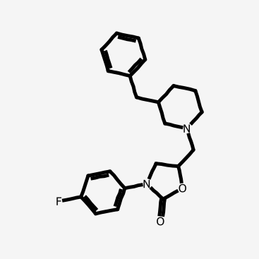 O=C1OC(CN2CCCC(Cc3ccccc3)C2)CN1c1ccc(F)cc1